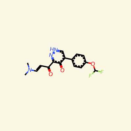 CN(C)C=CC(=O)c1n[nH]cc(-c2ccc(OC(F)F)cc2)c1=O